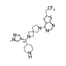 Cn1cc([C@H](C2CCNCC2)N2CC3(CCN(c4ncnc5sc(CC(F)(F)F)cc45)C3)C2)cn1